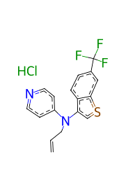 C=CCN(c1ccncc1)c1csc2cc(C(F)(F)F)ccc12.Cl